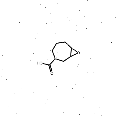 O=C(O)N1CCCC2OC2C1